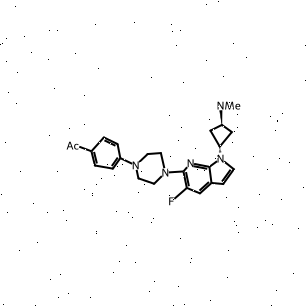 CN[C@H]1C[C@H](n2ccc3cc(F)c(N4CCN(c5ccc(C(C)=O)cc5)CC4)nc32)C1